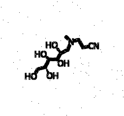 CN(CCC#N)C[C@H](O)[C@@H](O)[C@H](O)[C@H](O)CO